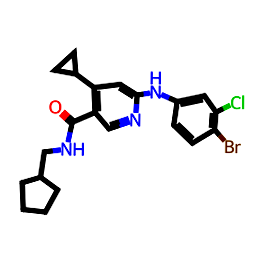 O=C(NCC1CCCC1)c1cnc(Nc2ccc(Br)c(Cl)c2)cc1C1CC1